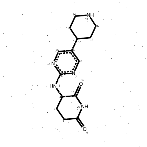 O=C1CCC(Nc2ncc(C3CCNCC3)cn2)C(=O)N1